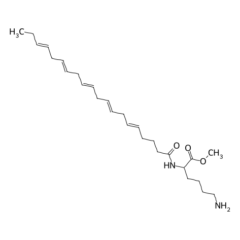 CCC=CCC=CCC=CCC=CCC=CCCCC(=O)NC(CCCCN)C(=O)OC